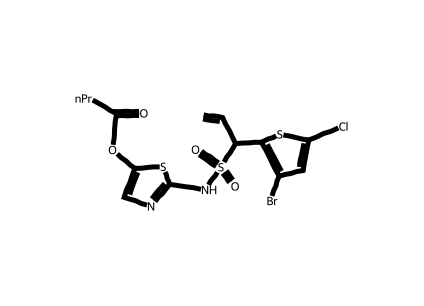 C=CC(c1sc(Cl)cc1Br)S(=O)(=O)Nc1ncc(OC(=O)CCC)s1